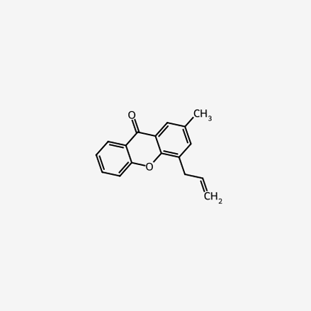 C=CCc1cc(C)cc2c(=O)c3ccccc3oc12